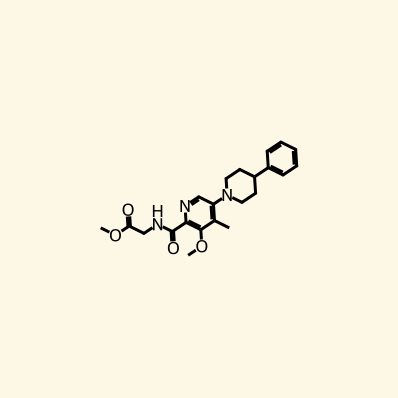 COC(=O)CNC(=O)c1ncc(N2CCC(c3ccccc3)CC2)c(C)c1OC